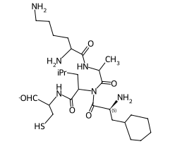 CC(C)CC(C(=O)NC([C]=O)CS)N(C(=O)C(C)NC(=O)C(N)CCCCN)C(=O)[C@@H](N)CC1CCCCC1